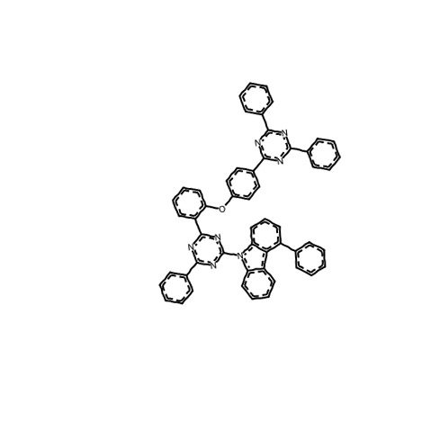 c1ccc(-c2nc(-c3ccccc3)nc(-c3ccc(Oc4ccccc4-c4nc(-c5ccccc5)nc(-n5c6ccccc6c6c(-c7ccccc7)cccc65)n4)cc3)n2)cc1